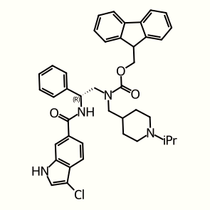 CC(C)N1CCC(CN(C[C@H](NC(=O)c2ccc3c(Cl)c[nH]c3c2)c2ccccc2)C(=O)OCC2c3ccccc3-c3ccccc32)CC1